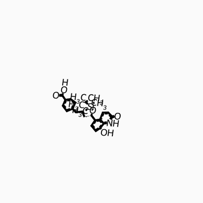 CC(C)(C)[Si](C)(C)O[C@@H](CCCc1ccc(C(=O)O)cc1)c1ccc(O)c2[nH]c(=O)ccc12